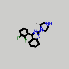 C[C@@H]1CNCCN1c1nc(-c2cccc(F)c2F)c2ccccc2n1